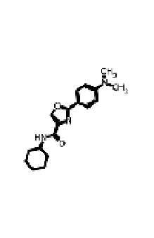 CN(C)c1ccc(-c2nc(C(=O)NC3CCCCC3)co2)cc1